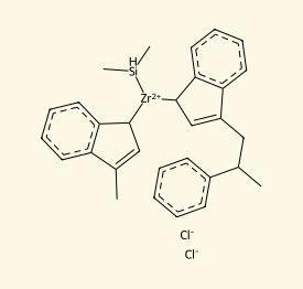 CC1=C[CH]([Zr+2]([CH]2C=C(CC(C)c3ccccc3)c3ccccc32)[SiH](C)C)c2ccccc21.[Cl-].[Cl-]